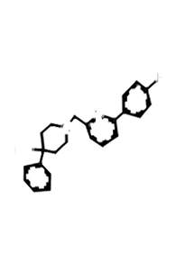 OC1(c2ccccc2)CCN(Cc2cccc(-c3ccc(F)cc3)n2)CC1